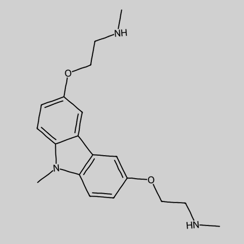 CNCCOc1ccc2c(c1)c1cc(OCCNC)ccc1n2C